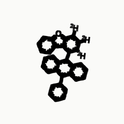 [2H]c1c([2H])c(-c2c3ccccc3c(-c3ccccc3)c3ccccc23)c2c(oc3ccccc32)c1[2H]